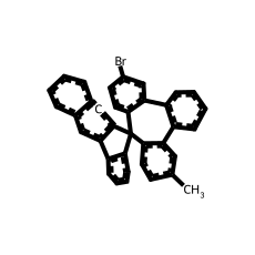 Cc1ccc2c(c1)-c1ccccc1-c1cc(Br)ccc1C21c2ccccc2-c2cc3ccccc3cc21